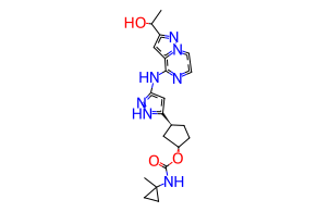 CC(O)c1cc2c(Nc3cc([C@H]4CC[C@@H](OC(=O)NC5(C)CC5)C4)[nH]n3)nccn2n1